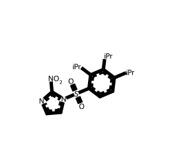 CC(C)c1ccc(S(=O)(=O)n2ccnc2[N+](=O)[O-])c(C(C)C)c1C(C)C